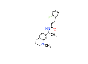 CC(NC(=O)/C=C/c1ccccc1F)c1ccc2c(c1)N(C)CCC2